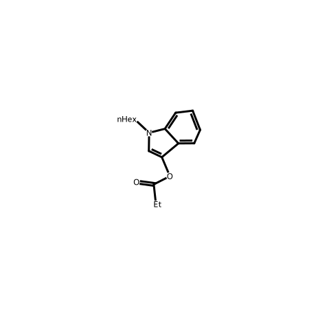 CCCCCCn1cc(OC(=O)CC)c2ccccc21